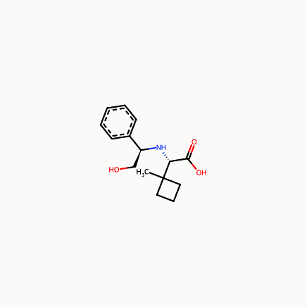 CC1([C@H](N[C@@H](CO)c2ccccc2)C(=O)O)CCC1